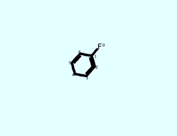 FC1=C=CCC=C1